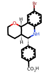 O=C(O)c1ccc([C@H]2Nc3ccc(Br)cc3[C@@H]3OCCC[C@H]23)cc1